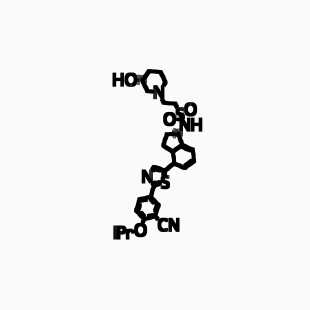 CC(C)Oc1ccc(-c2ncc(C3C=CC=C4C3CC[C@@H]4NS(=O)(=O)CCN3CCC[C@@H](O)C3)s2)cc1C#N